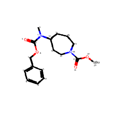 CN(C(=O)OCc1ccccc1)C1CCCN(C(=O)OC(C)(C)C)CC1